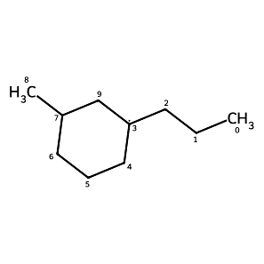 CCC[C]1CCCC(C)C1